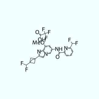 COc1cc(NC(=O)c2cccc(C(F)F)n2)cn2cc(C34CC(C(F)F)(C3)C4)nc12.O=C(O)C(F)(F)F